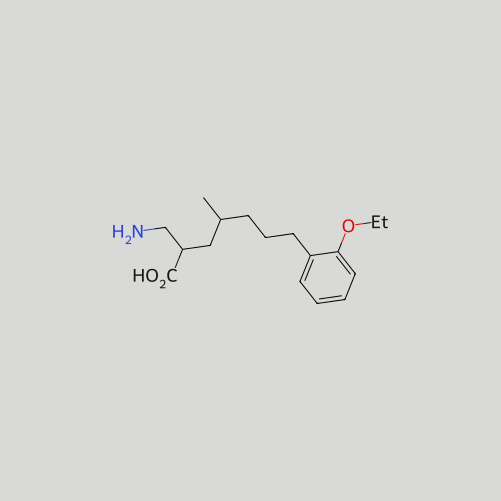 CCOc1ccccc1CCCC(C)CC(CN)C(=O)O